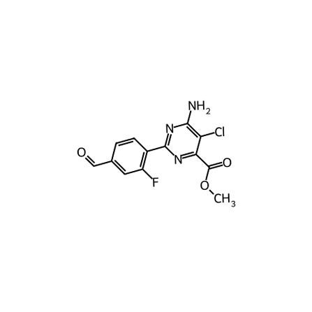 COC(=O)c1nc(-c2ccc(C=O)cc2F)nc(N)c1Cl